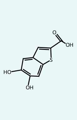 O=C(O)c1cc2cc(O)c(O)cc2s1